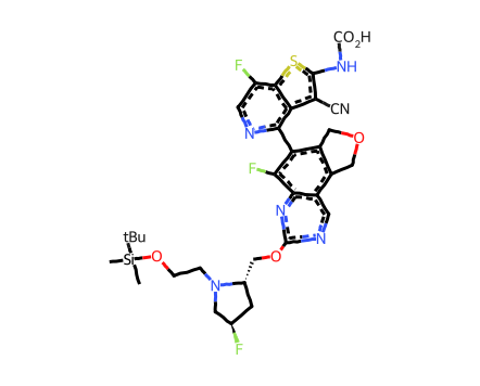 CC(C)(C)[Si](C)(C)OCCN1C[C@H](F)C[C@H]1COc1ncc2c3c(c(-c4ncc(F)c5sc(NC(=O)O)c(C#N)c45)c(F)c2n1)COC3